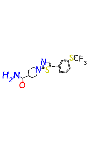 NC(=O)C1CCN(c2ncc(-c3cccc(SC(F)(F)F)c3)s2)CC1